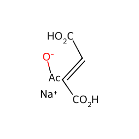 CC(=O)[O-].O=C(O)C=CC(=O)O.[Na+]